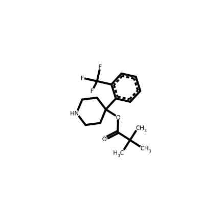 CC(C)(C)C(=O)OC1(c2ccccc2C(F)(F)F)CCNCC1